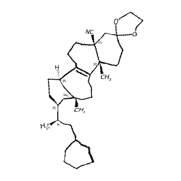 C[C@H](CC1CCCCC1)[C@H]1CC[C@H]2C3=C(CC[C@]12C)[C@@]1(C)CCC2(C[C@@]1(C#N)CC3)OCCO2